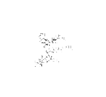 C=CCCCCN(C)C(=O)C1CC(Oc2nc(-c3nc(C(C)C)cs3)nc3cc(OC)ccc23)CC1C(=O)NC1(C(=O)NS(=O)(=O)C2CC2)CC1C=C